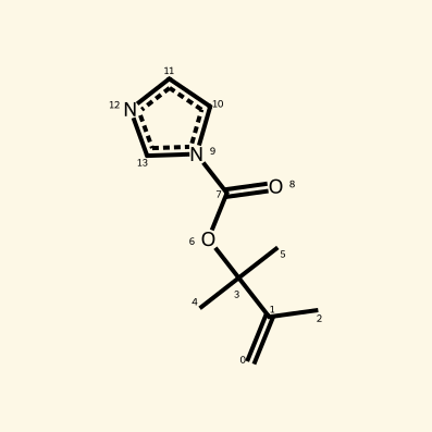 C=C(C)C(C)(C)OC(=O)n1ccnc1